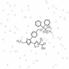 CCc1nc(C2=N[C@](C)(C(=O)O)CS2)c(-c2ccc(CO[Si](c3ccccc3)(c3ccccc3)C(C)(C)C)cc2)s1